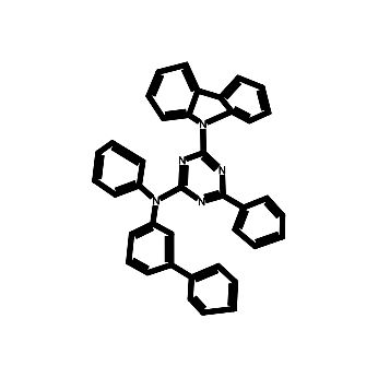 c1ccc(-c2cccc(N(c3ccccc3)c3nc(-c4ccccc4)nc(-n4c5ccccc5c5ccccc54)n3)c2)cc1